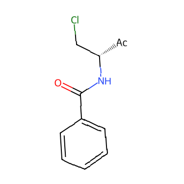 CC(=O)[C@@H](CCl)NC(=O)c1ccccc1